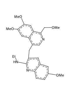 CCNc1nc2ccc(OC)cc2cc1Cc1cnc(COC)c2cc(OC)c(OC)cc12